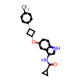 O=C(Nc1c[nH]c2ccc(O[C@H]3C[C@@H](c4ccc(C(F)(F)F)cc4)C3)cc12)C1CC1